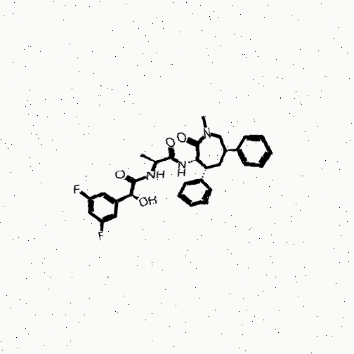 C[C@H](NC(=O)[C@@H](O)c1cc(F)cc(F)c1)C(=O)N[C@@H]1C(=O)N(C)C[C@@H](c2ccccc2)C[C@@H]1c1ccccc1